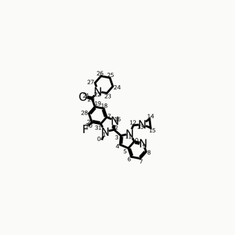 Cn1c(-c2cc3cccnc3n2CN2CC2)nc2cc(C(=O)N3CCCCC3)cc(F)c21